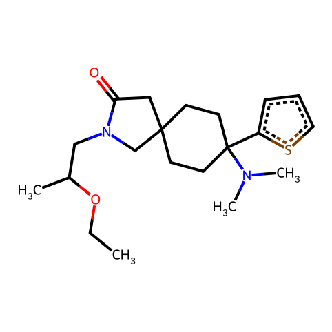 CCOC(C)CN1CC2(CCC(c3cccs3)(N(C)C)CC2)CC1=O